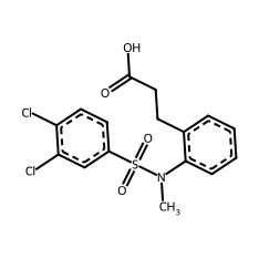 CN(c1ccccc1CCC(=O)O)S(=O)(=O)c1ccc(Cl)c(Cl)c1